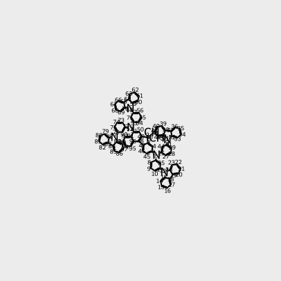 CC1(C)c2cc(N(c3cccc(-n4c5ccccc5c5ccccc54)c3)c3cccc(-n4c5ccccc5c5ccccc54)c3)ccc2-c2c1cc(N(c1cccc(-n3c4ccccc4c4ccccc43)c1)c1cccc(-n3c4ccccc4c4ccccc43)c1)c1ccccc21